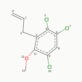 C=CCc1c(Cl)c(Cl)cc(Cl)c1OC